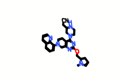 CN1CCCC1COc1nc2c(c(N3CCNC(CC#N)C3)n1)CCN(c1cccc3cccnc13)C2